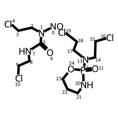 O=NN(CCCl)C(=O)NCCCl.O=P1(N(CCCl)CCCl)NCCCO1